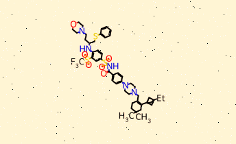 CCC12CC(C3=C(CN4CCN(c5ccc(C(=O)NS(=O)(=O)c6ccc(NC(CCN7CCOCC7)CSc7ccccc7)c(S(=O)(=O)C(F)(F)F)c6)cc5)CC4)CCC(C)(C)C3)(C1)C2